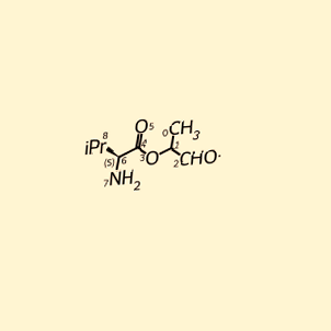 CC([C]=O)OC(=O)[C@@H](N)C(C)C